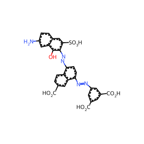 Nc1ccc2cc(S(=O)(=O)O)c(N=Nc3ccc(N=Nc4cc(C(=O)O)cc(C(=O)O)c4)c4cc(C(=O)O)ccc34)c(O)c2c1